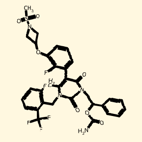 Cc1c(-c2cccc(OC3CN(S(C)(=O)=O)C3)c2F)c(=O)n(CC(OC(N)=O)c2ccccc2)c(=O)n1Cc1c(F)cccc1C(F)(F)F